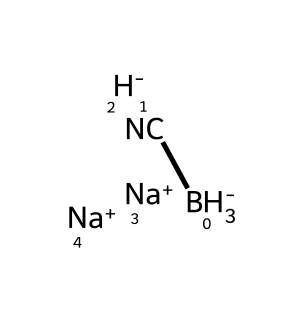 [BH3-]C#N.[H-].[Na+].[Na+]